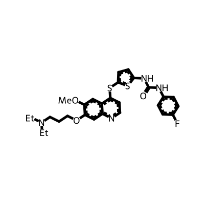 CCN(CC)CCCOc1cc2nccc(Sc3ccc(NC(=O)Nc4ccc(F)cc4)s3)c2cc1OC